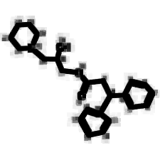 O=C(CC(c1ccccc1)c1ccccc1)OCC(O)CN1CCCCC1